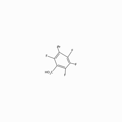 CC(C)c1c(F)c(F)c(F)c(C(=O)O)c1F